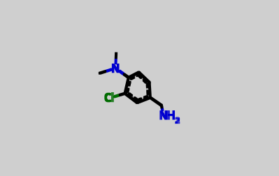 CN(C)c1ccc(CN)cc1Cl